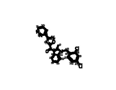 Cc1c(C(=O)c2nc(-c3cccnn3)no2)c2ccccc2n1Cc1ccc(Cl)cc1Cl